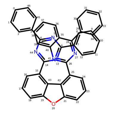 c1ccc(-c2nc(-c3ccccc3)nc(-c3cccc4oc5cccc(-c6nc(-c7ccccc7)c7ccccc7n6)c5c34)n2)cc1